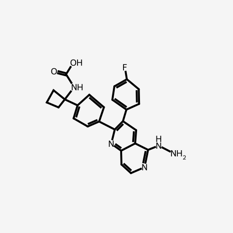 NNc1nccc2nc(-c3ccc(C4(NC(=O)O)CCC4)cc3)c(-c3ccc(F)cc3)cc12